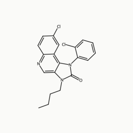 CCCCn1c(=O)n(-c2ccccc2Cl)c2c3cc(Cl)ccc3ncc21